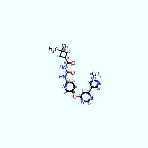 Cn1cc(-c2cc(Oc3ccc(NC(=O)NC(=O)C4CC(C)(C)C4)nc3)ncn2)cn1